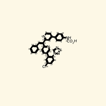 O=C(O)Nc1ccc(-c2ccnc(C(=Cc3ccccc3)c3ccc(-c4cc(Cl)ccc4-n4cnnn4)cn3)c2)cc1